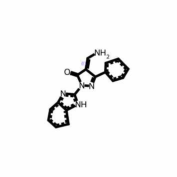 N/C=C1/C(=O)N(c2nc3ccccc3[nH]2)N=C1c1ccccc1